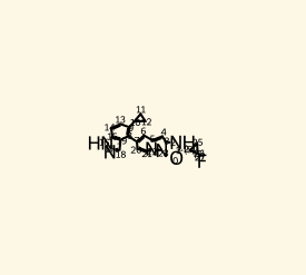 O=C(Nc1cc2cc(-c3c(C4CC4)ccc4[nH]ncc34)ccn2n1)[C@@H]1C[C@@H]1F